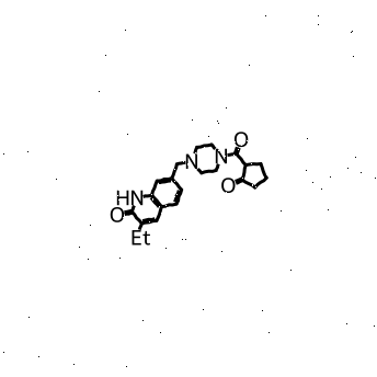 CCc1cc2ccc(CN3CCN(C(=O)C4CCCC4=O)CC3)cc2[nH]c1=O